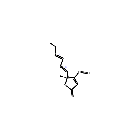 C=C1C=C(N=O)[C@@](C)(/C=C/C=C/CC)S1